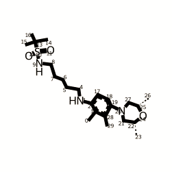 Cc1c(NCCCCCNS(=O)(=O)C(C)(C)C)ccc(N2C[C@@H](C)O[C@@H](C)C2)c1C